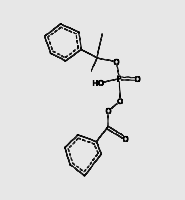 CC(C)(OP(=O)(O)OOC(=O)c1ccccc1)c1ccccc1